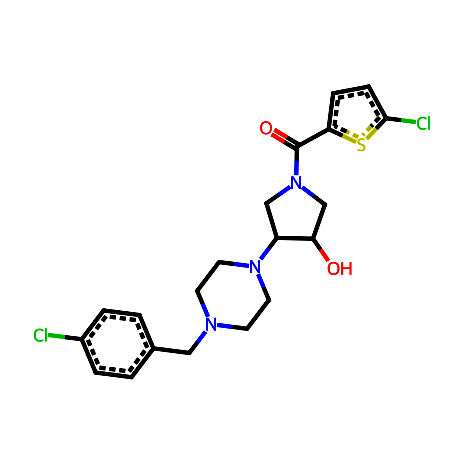 O=C(c1ccc(Cl)s1)N1CC(O)C(N2CCN(Cc3ccc(Cl)cc3)CC2)C1